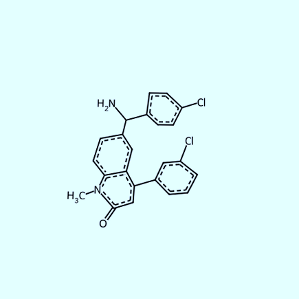 Cn1c(=O)cc(-c2cccc(Cl)c2)c2cc(C(N)c3ccc(Cl)cc3)ccc21